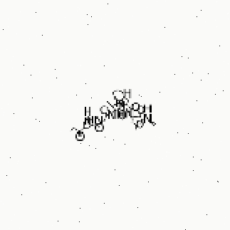 CCC[C@H](NC(=O)[C@@H]1C[C@@H]2CCCC[C@@H]2N1C(=O)[C@@H](NC(=O)CNC(=O)c1cc(C(=O)CC)c[nH]1)C(C)(C)C)C(=O)C(=O)NC1CC1